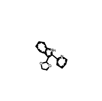 c1ccc(-c2[nH]c3ccccc3c2C2OCCO2)nc1